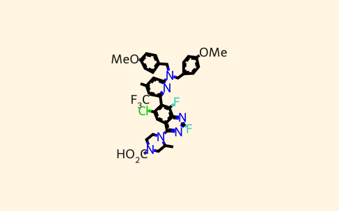 COc1ccc(CN(Cc2ccc(OC)cc2)c2cc(C)c(C(F)(F)F)c(-c3c(Cl)cc4c(N5CCN(C(=O)O)CC5C)nc(F)nc4c3F)n2)cc1